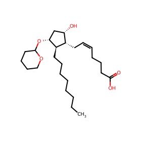 CCCCCCCC[C@@H]1[C@@H](C/C=C\CCCC(=O)O)[C@@H](O)C[C@H]1OC1CCCCO1